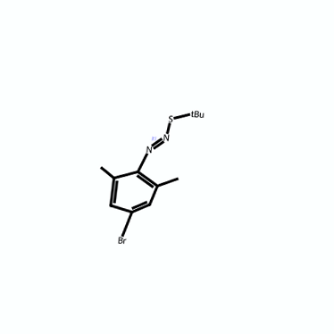 Cc1cc(Br)cc(C)c1/N=N/SC(C)(C)C